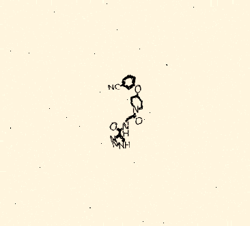 N#Cc1cccc(OC2CCN(C(=O)CNC(=O)c3c[nH]nn3)CC2)c1